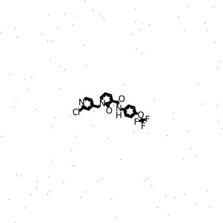 O=C(Nc1ccc(OC(F)(F)F)cc1)c1cccn(Cc2ccnc(Cl)c2)c1=O